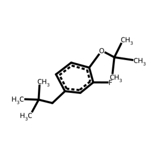 CC(C)(C)Cc1ccc(OC(C)(C)C)c(F)c1